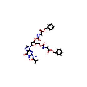 CC(C)C(=O)Nc1nc2c(ncn2C2CC(OC(=O)NCC(=O)OCc3ccccc3)C(COC(=O)NCC(=O)OCc3ccccc3)O2)c(=O)[nH]1